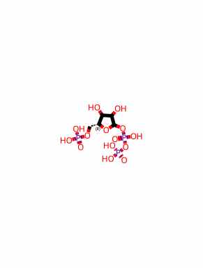 O=P(O)(O)OC[C@H]1OC(OP(=O)(O)OP(=O)(O)O)C(O)C1O